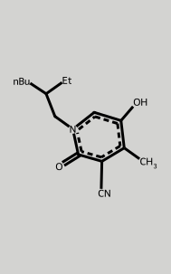 CCCCC(CC)Cn1cc(O)c(C)c(C#N)c1=O